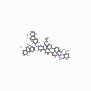 CCCC(CC)Cn1c2cc(N(c3ccc4c(c3)C(C)(C)c3ccccc3-4)c3ccc4c(c3)C(C)(C)c3ccccc3-4)ccc2c2ccc3c4ccc5c(=O)n(-c6c(C(C)C)cccc6C(C)C)c(=O)c6ccc(c7ccc1c2c37)c4c56